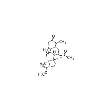 COC(=O)C1CC[C@H]2[C@@H]3C(OC(C)=O)CC4N(C)C(=O)CC[C@]4(C)[C@@H]3CC[C@]12C